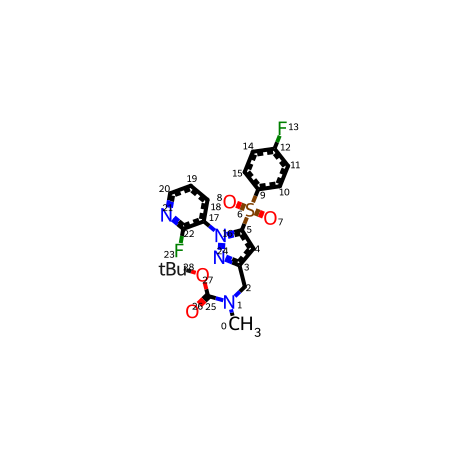 CN(Cc1cc(S(=O)(=O)c2ccc(F)cc2)n(-c2cccnc2F)n1)C(=O)OC(C)(C)C